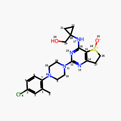 Cc1cc(Cl)ccc1N1CCN(c2nc3c(c(NC4(CO)CC4)n2)[S+]([O-])CC3)CC1